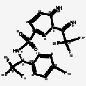 N=C(n1nc(S(=O)(=O)N[C@H](c2ccc(F)cc2)C(F)(F)F)ccc1=N)C(F)(F)F